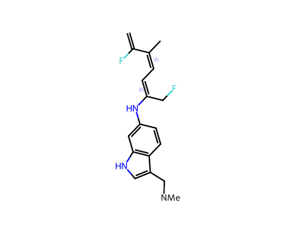 C=C(F)/C(C)=C\C=C(/CF)Nc1ccc2c(CNC)c[nH]c2c1